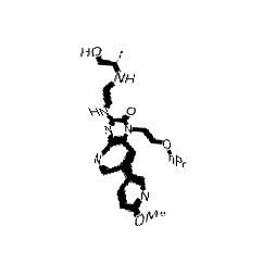 CCCOCCn1c(=O)c(NCCN[C@@H](C)CO)nc2ncc(-c3ccc(OC)nc3)cc21